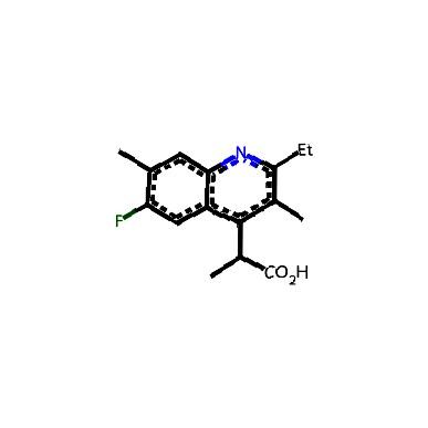 CCc1nc2cc(C)c(F)cc2c(C(C)C(=O)O)c1C